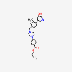 C=CCOC(=O)c1ccc(N2CCN(Cc3ccc(-c4cncc(O)c4)c(C)c3)CC2)cc1